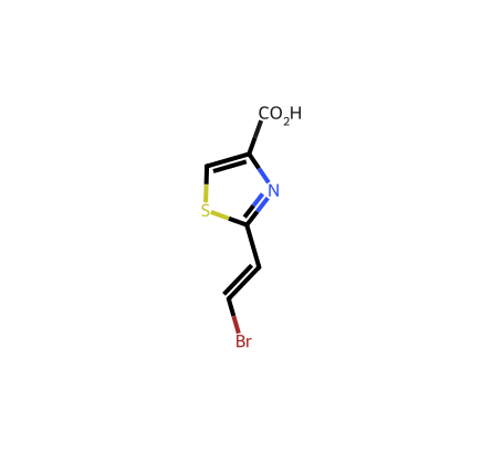 O=C(O)c1csc(C=CBr)n1